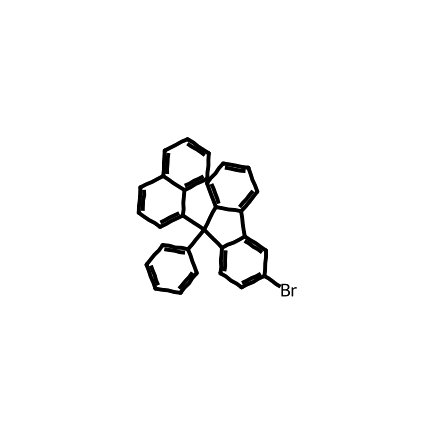 Brc1ccc2c(c1)-c1ccccc1C2(c1ccccc1)c1cccc2ccccc12